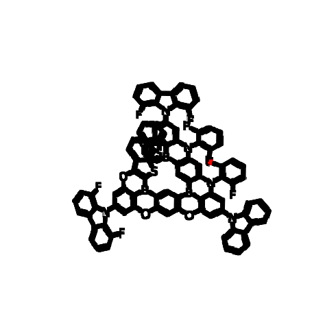 Fc1cccc(F)c1N1c2cc3c(cc2B2c4cc5c(cc4Oc4cc(-n6c7ccccc7c7ccccc76)cc1c42)Oc1cc(-n2c4c(F)cccc4c4cccc(F)c42)cc2c1B5c1sc4ccccc4c1O2)B1c2sc4ccccc4c2Oc2cc(-n4c5c(F)cccc5c5cccc(F)c54)cc(c21)N3c1c(F)cccc1F